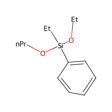 CCCO[Si](CC)(OCC)c1ccccc1